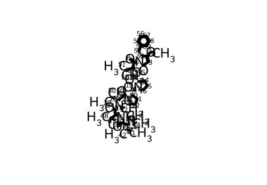 COC1=CC(=O)N(C(=O)[C@@H](OC(=O)[C@@H]2CCCN2C(=O)[C@@H]2CCCN2C(=O)[C@H](C(C)C)N(C)C(=O)C(NC(=O)[C@H](C(C)C)N(C)C)C(C)C)C(C)C)[C@H]1Cc1ccccc1